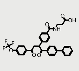 O=C(O)CCNC(=O)c1ccc(C(CC(=O)c2ccc(OC(F)(F)F)cc2)C(=O)c2ccc(-c3ccccc3)cc2)cc1